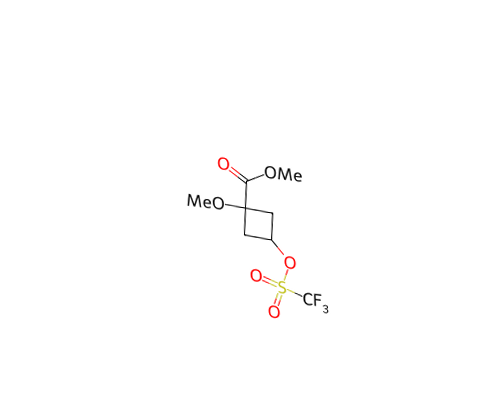 COC(=O)C1(OC)CC(OS(=O)(=O)C(F)(F)F)C1